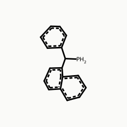 PC(c1ccccc1)c1cccc2ccccc12